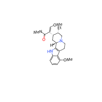 CC[C@@H]1CN2CCc3c([nH]c4cccc(OC)c34)[C@@H]2C[C@@H]1/C(=C\OC)C(=O)NC